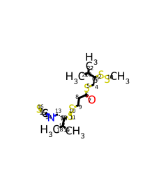 CSS[C@@H](CSC(=O)CCSS[C@@H](CN=C=S)C(C)C)C(C)C